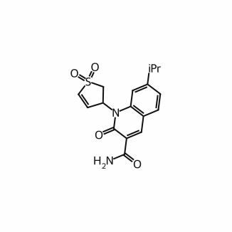 CC(C)c1ccc2cc(C(N)=O)c(=O)n(C3C=CS(=O)(=O)C3)c2c1